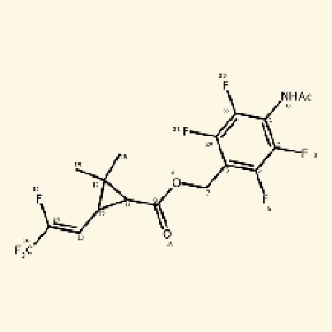 CC(=O)Nc1c(F)c(F)c(COC(=O)C2C(C=C(F)C(F)(F)F)C2(C)C)c(F)c1F